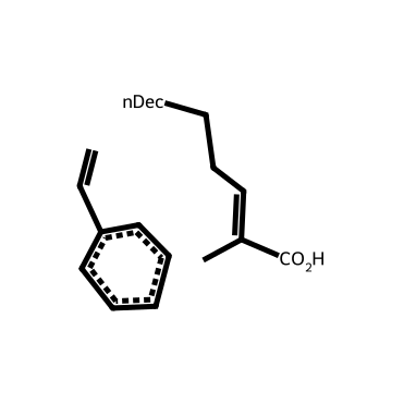 C=Cc1ccccc1.CCCCCCCCCCCC/C=C(\C)C(=O)O